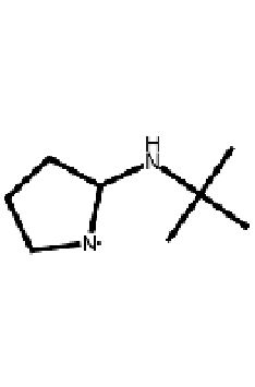 CC(C)(C)NC1CCC[N]1